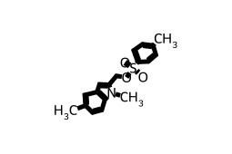 Cc1ccc(S(=O)(=O)OCc2cc3cc(C)ccc3n2C)cc1